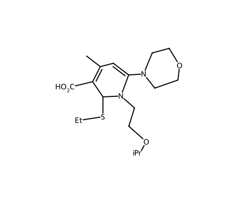 CCSC1C(C(=O)O)=C(C)C=C(N2CCOCC2)N1CCOC(C)C